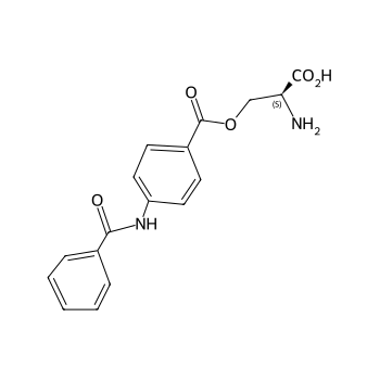 N[C@@H](COC(=O)c1ccc(NC(=O)c2ccccc2)cc1)C(=O)O